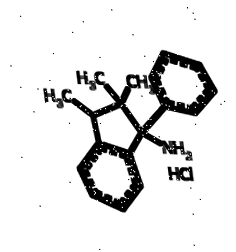 CC1c2ccccc2C(N)(c2ccccc2)C1(C)C.Cl